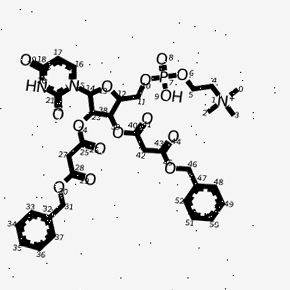 C[N+](C)(C)CCOP(=O)(O)OCC1OC(n2ccc(=O)[nH]c2=O)C(OC(=O)CC(=O)OCc2ccccc2)C1OC(=O)CC(=O)OCc1ccccc1